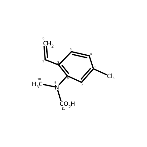 C=Cc1ccc(Cl)cc1N(C)C(=O)O